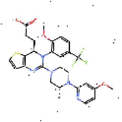 COc1ccnc(N2CCN(C3=Nc4ccsc4[C@@H](CCC(=O)O)N3c3cc(C(F)(F)F)ccc3OC)C[C@H]2C)c1